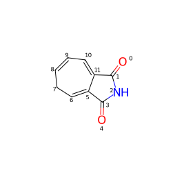 O=C1NC(=O)C2=CCC=CC=C12